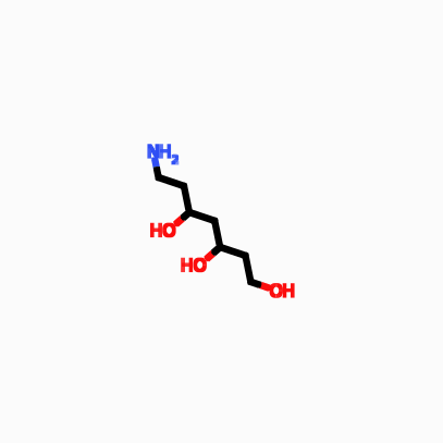 NCCC(O)CC(O)CCO